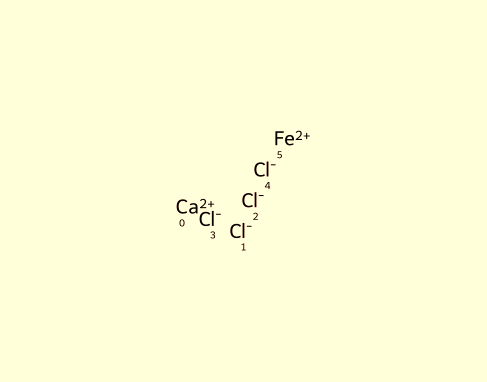 [Ca+2].[Cl-].[Cl-].[Cl-].[Cl-].[Fe+2]